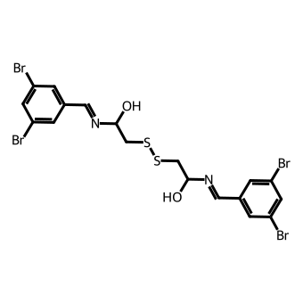 OC(CSSCC(O)N=Cc1cc(Br)cc(Br)c1)N=Cc1cc(Br)cc(Br)c1